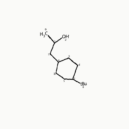 CC(O)[CH]C1CCC(C(C)(C)C)CC1